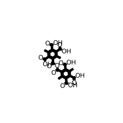 Cc1c(C(=O)O)c(C(=O)O)c(C)c(C(=O)OC(=O)c2c(C)c(C(=O)O)c(C(=O)O)c(C)c2C(=O)O)c1C(=O)O